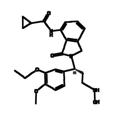 CCOc1cc([C@@H](CCNO)N2Cc3cccc(NC(=O)C4CC4)c3C2=O)ccc1OC